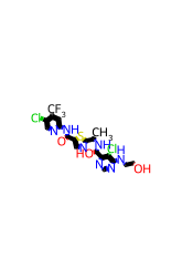 CC(NC(O)c1ncnc(NCCO)c1Cl)c1ncc(C(=O)Nc2cc(C(F)(F)F)c(Cl)cn2)s1